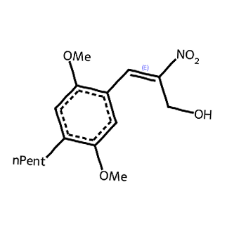 CCCCCc1cc(OC)c(/C=C(\CO)[N+](=O)[O-])cc1OC